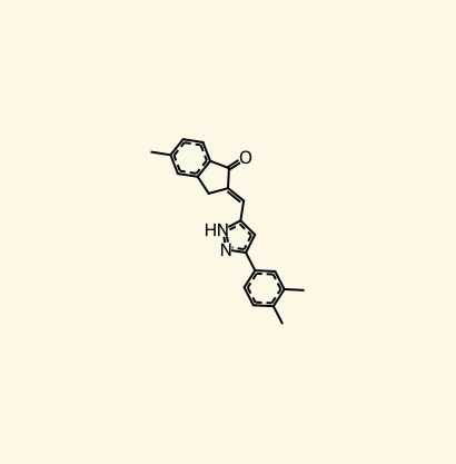 Cc1ccc2c(c1)C/C(=C\c1cc(-c3ccc(C)c(C)c3)n[nH]1)C2=O